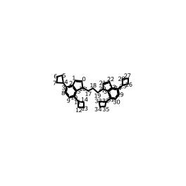 C1=Cc2c(C3CCC3)ccc(C3CCC3)c2[C]1CCC[C]1C=Cc2c(C3CCC3)ccc(C3CCC3)c21